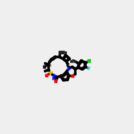 CCCc1cc(Cl)c(F)cc1C1COc2ccc3cc2N(C1)CC1CCC1C(OC)C1=CC(C1)[C@H](C)C(C)[S+]([O-])NC3=O